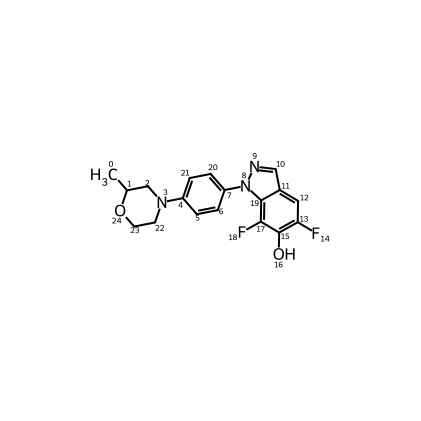 CC1CN(c2ccc(-n3ncc4cc(F)c(O)c(F)c43)cc2)CCO1